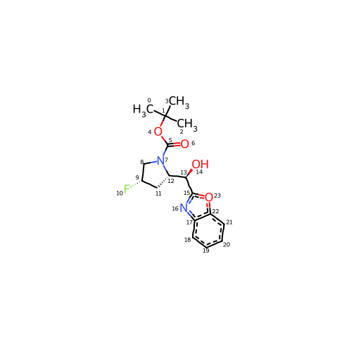 CC(C)(C)OC(=O)N1C[C@@H](F)C[C@H]1[C@@H](O)c1nc2ccccc2o1